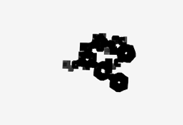 Cc1nc(Nc2nnc(C(=O)Nc3c(C)cccc3Cl)o2)nc(N2CCN(c3ccccc3)CC2)n1